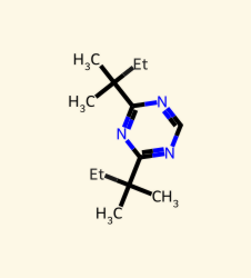 CCC(C)(C)c1ncnc(C(C)(C)CC)n1